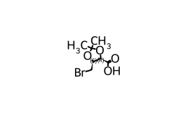 CC1(C)O[C@H](CBr)[C@H](C(=O)O)O1